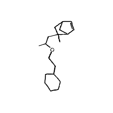 CC(CC1(C)CC2C=CC1C2)OCCC1CCCCC1